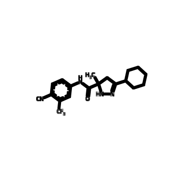 [C-]#[N+]c1ccc(NC(=O)C2(C)CC(C3CCCCC3)=NN2)cc1C(F)(F)F